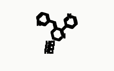 C(=C1/CCCN=C1c1cccnc1)/c1cccnc1.Cl.Cl.Cl